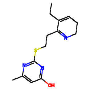 CCC1=CCCN=C1CCSc1nc(C)cc(O)n1